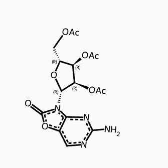 CC(=O)OC[C@H]1O[C@@H](n2c(=O)oc3cnc(N)nc32)[C@H](OC(C)=O)[C@@H]1OC(C)=O